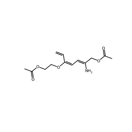 C=C/C(=C\C=C(/N)COC(C)=O)OCCOC(C)=O